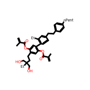 C=C(C)C(=O)Oc1cc(-c2ccc(CCc3ccc(CCCCC)cc3)cc2CC)c(OC(=O)C(=C)C)cc1CCC(CC)(CO)CO